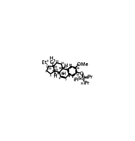 CC[C@H]1CC[C@H]2[C@@H]3C=Cc4cc(O[Si](C(C)C)(C(C)C)C(C)C)c(OC)cc4[C@H]3CC[C@]12C